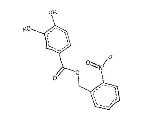 O=C(OCc1ccccc1[N+](=O)[O-])c1ccc(O)c(O)c1